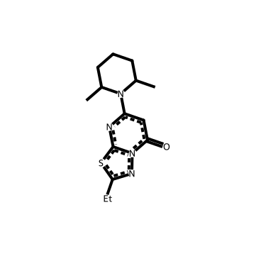 CCc1nn2c(=O)cc(N3C(C)CCCC3C)nc2s1